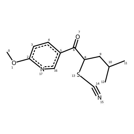 COc1ccc(C(=O)C(CC(C)C)SC#N)cn1